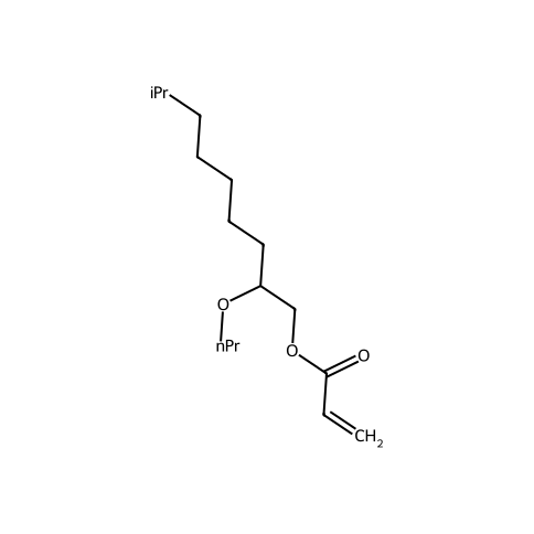 C=CC(=O)OCC(CCCCCC(C)C)OCCC